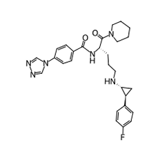 O=C(N[C@@H](CCCN[C@@H]1C[C@H]1c1ccc(F)cc1)C(=O)N1CCCCC1)c1ccc(-n2cnnc2)cc1